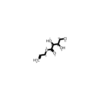 C=CCOC(=O)C(O)C(O)CCl